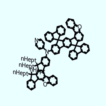 CCCCCCCC1(CCCCCCC)c2ccccc2-c2c1c1c(c3c2oc2ccccc23)-c2ccc(N(c3ccncc3)c3ccc4c(c3)C3(c5ccccc5-c5ccccc53)c3cc5c(cc3-4)C3(c4ccccc4-c4ccccc43)c3ccc4oc6ccccc6c4c3-5)cc2C1(CCCCCCC)CCCCCCC